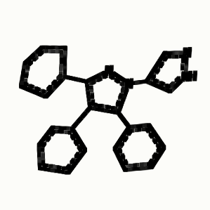 c1ccc(-c2nn(-c3cn[nH]c3)c(-c3ccccc3)c2-c2ccccc2)cc1